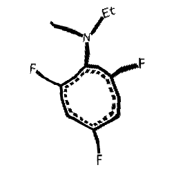 CCN(C)c1c(F)cc(F)cc1F